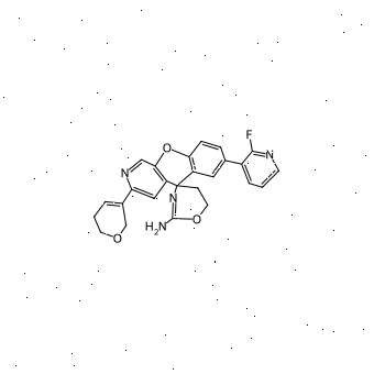 NC1=NC2(CCO1)c1cc(-c3cccnc3F)ccc1Oc1cnc(C3=CCCOC3)cc12